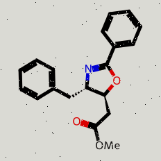 COC(=O)C[C@@H]1OC(c2ccccc2)=N[C@H]1Cc1ccccc1